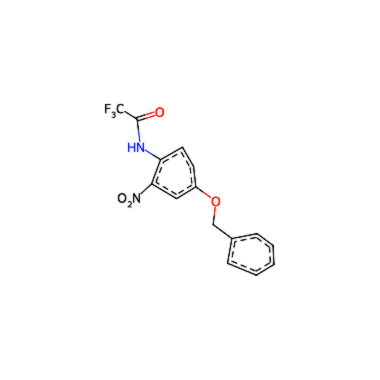 O=C(Nc1ccc(OCc2ccccc2)cc1[N+](=O)[O-])C(F)(F)F